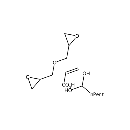 C(OCC1CO1)C1CO1.C=CC(=O)O.CCCCCC(O)O